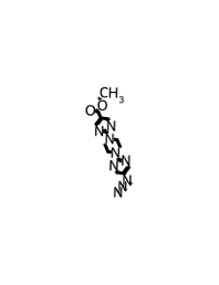 CCOC(=O)c1cnc(N2CCN(c3ncc(N=[N+]=[N-])cn3)CC2)nc1